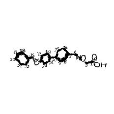 O=C(O)CO/N=C/c1ccc(-c2ccc(OCc3ccccc3)cc2)cc1